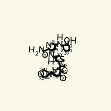 NC(=O)c1ncc(N[C@@H]2CCCC[C@@H]2O)cc1Nc1csc(-c2coc3c(=O)cc(N4CCOCC4)sc23)c1